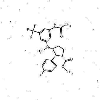 COC(=O)[C@H]1CC[C@H](N(C)c2cc(NC(C)=O)cc(C(F)(F)F)c2)[C@@H]1c1ccc(F)cc1